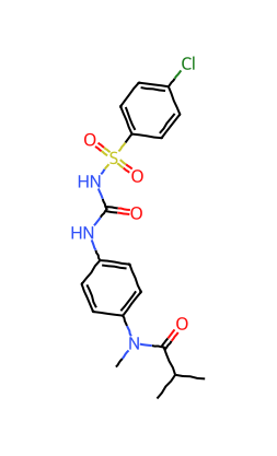 CC(C)C(=O)N(C)c1ccc(NC(=O)NS(=O)(=O)c2ccc(Cl)cc2)cc1